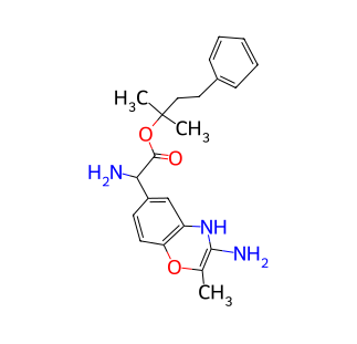 CC1=C(N)Nc2cc(C(N)C(=O)OC(C)(C)CCc3ccccc3)ccc2O1